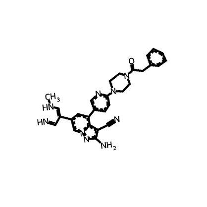 CN/C=C(\C=N)c1cc(-c2ccc(N3CCN(C(=O)Cc4ccccc4)CC3)nc2)c2c(C#N)c(N)nn2c1